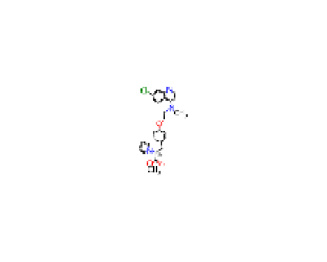 COC(=O)[C@H](Cc1ccc(OCCN(C)c2ccnc3cc(Cl)ccc23)cc1)n1cccc1